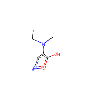 CCN(C)c1cnoc1O